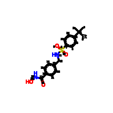 CCC(C)(C)c1ccc(S(=O)(=O)NCc2ccc(C(=O)NO)cc2)cc1